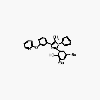 Cc1c(-c2cccc(Oc3ccccn3)c2)nc(-c2cc(C(C)(C)C)cc(C(C)(C)C)c2O)n1-c1ccccc1